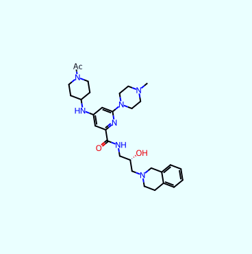 CC(=O)N1CCC(Nc2cc(C(=O)NC[C@H](O)CN3CCc4ccccc4C3)nc(N3CCN(C)CC3)c2)CC1